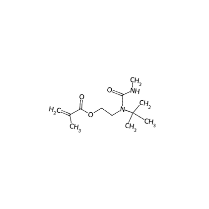 C=C(C)C(=O)OCCN(C(=O)NC)C(C)(C)C